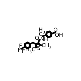 Cc1sc(C)c(C(=O)NC(C)c2ccc(C(=O)O)cc2)c1Cc1ccc(C(F)(F)F)cc1